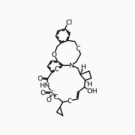 O=C1NS(=O)(=O)CC(C2CC2)C/C=C/C(O)[C@@H]2CC[C@H]2CN2CCCCc3cc(Cl)ccc3COc3ccc1cc32